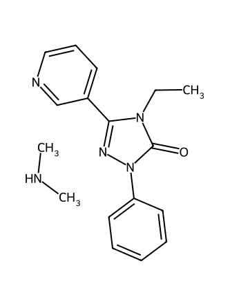 CCn1c(-c2cccnc2)nn(-c2ccccc2)c1=O.CNC